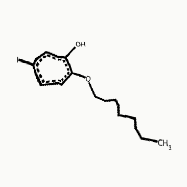 CCCCCCOc1ccc(I)cc1O